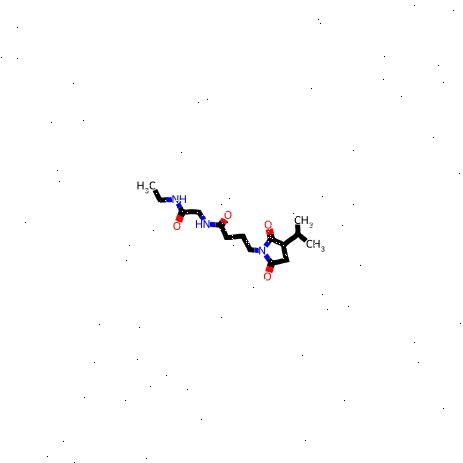 CCNC(=O)CNC(=O)CCCN1C(=O)CC(C(C)C)C1=O